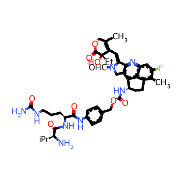 CC[C@@]1(O)C(=O)OCC(C)=C1/C=C1/c2nc3cc(F)c(C)c4c3c(c2CN1C=O)[C@@H](NC(=O)OCc1ccc(NC(=O)[C@H](CCCNC(N)=O)NC(=O)[C@@H](N)C(C)C)cc1)CC4